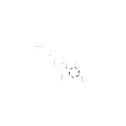 Cc1cc(Br)cc(F)c1N1CCC(CCO)CC1